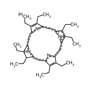 CCC1=C(CC)c2cc3[nH]c(cc4nc(cc5[nH]c(cc1n2)C(CC)C5CC)C(CC)=C4CC)c(CC)c3CC.[Pt]